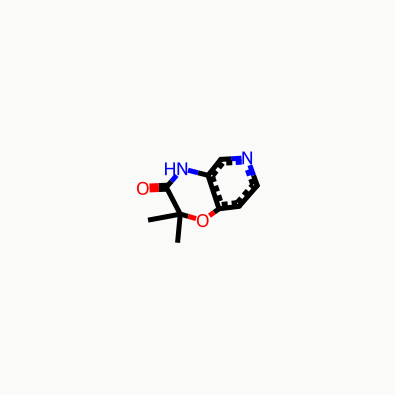 CC1(C)Oc2ccncc2NC1=O